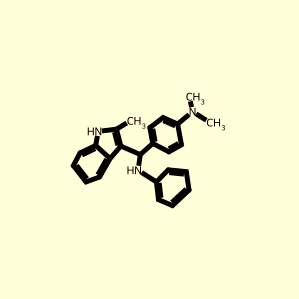 Cc1[nH]c2ccccc2c1C(Nc1ccccc1)c1ccc(N(C)C)cc1